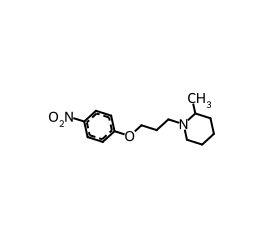 CC1CCCCN1CCCOc1ccc([N+](=O)[O-])cc1